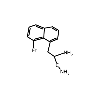 CCc1cccc2cccc(CC(N)CN)c12